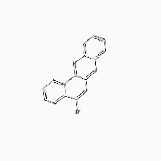 Brc1cc2cc3ccccc3nc2c2ccccc12